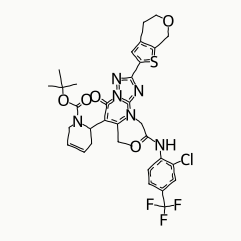 CCc1c(C2CC=CCN2C(=O)OC(C)(C)C)c(=O)n2nc(-c3cc4c(s3)COCC4)nc2n1CC(=O)Nc1ccc(C(F)(F)F)cc1Cl